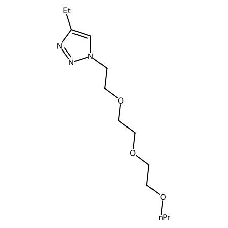 CCCOCCOCCOCCn1cc(CC)nn1